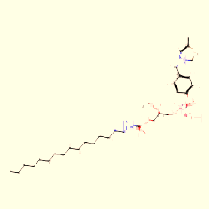 CCCCCCCCCCCCCCCCNC(=O)OCC(COP(O)Oc1ccc(CN2C=C(C)SC2)cc1)OC